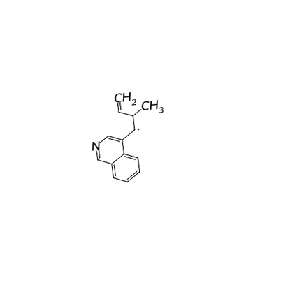 C=CC(C)[CH]c1cncc2ccccc12